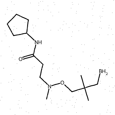 BCC(C)(C)CON(C)CCC(=O)NC1CCCC1